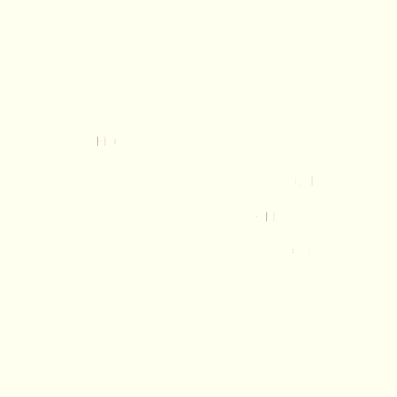 CCCCCCC(C)C.CCCCCCCCC